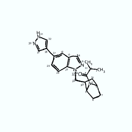 CC(C)C(=O)N1C2CCC1C(Cn1ncc3cc(-c4cn[nH]c4)ccc31)C2